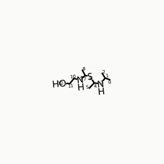 CC(C)NC(C)SC(C)NCCO